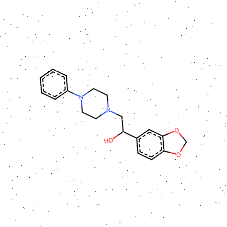 OC(CN1CCN(c2ccccc2)CC1)c1ccc2c(c1)OCO2